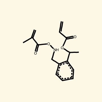 C=CC(=O)OC(C)c1ccccc1CNOC(=O)C(=C)C